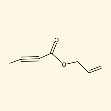 C=CCOC(=O)C#CC